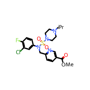 COC(=O)c1ccc(CN(c2ccc(F)c(Cl)c2)S(=O)(=O)N2CCN(C(C)C)CC2)nc1